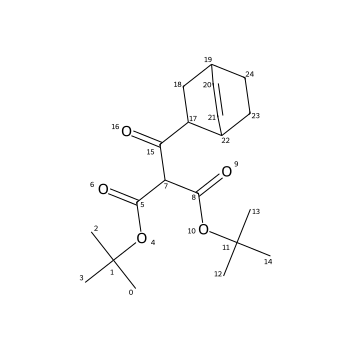 CC(C)(C)OC(=O)C(C(=O)OC(C)(C)C)C(=O)C1CC2C=CC1CC2